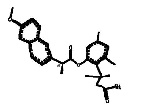 COc1ccc2cc([C@H](C)C(=O)Oc3cc(C)cc(C)c3C(C)(C)CC(=O)S)ccc2c1